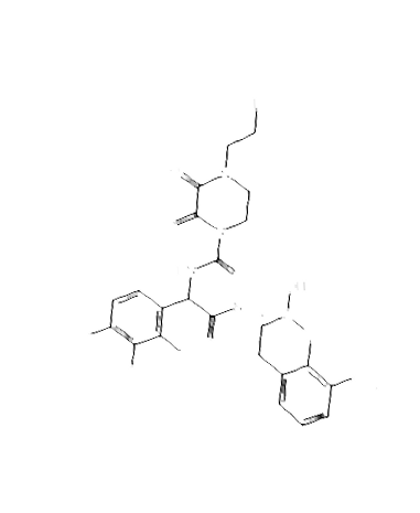 O=C(O)c1cccc2c1OB(O)[C@@H](NC(=O)C(NC(=O)N1CCN(CCBr)C(=O)C1=O)c1ccc(O)c(F)c1F)C2